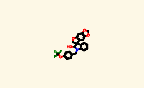 OC1N(Cc2ccc(OC(F)(F)F)cc2)c2ccccc2C12COc1cc3c(cc12)OCO3